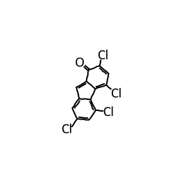 O=C1C(Cl)=CC(Cl)=C2C1=Cc1cc(Cl)cc(Cl)c12